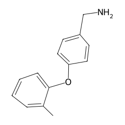 Cc1ccccc1Oc1ccc(CN)cc1